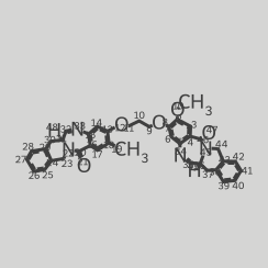 COc1cc2c(cc1OCCCOc1cc3c(cc1C)C(=O)N1Cc4ccccc4C[C@H]1C=N3)N=C[C@@H]1Cc3ccccc3CN1C2=O